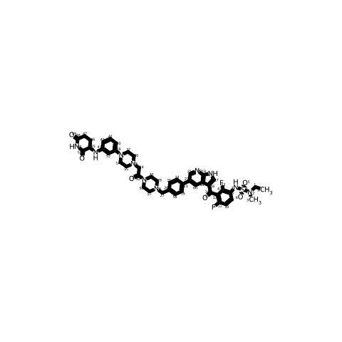 CCN(C)S(=O)(=O)Nc1ccc(F)c(C(=O)c2c[nH]c3ncc(-c4ccc(CN5CCN(C(=O)CN6CCN(c7cccc(NC8CCC(=O)NC8=O)c7)CC6)CC5)cc4)cc23)c1F